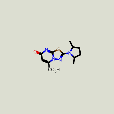 CC1CCC(C)N1c1nn2c(C(=O)O)cc(=O)nc2s1